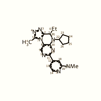 CC[C@@H]1c2nnc(C)n2-c2cnc(-c3ccnc(NC)c3)nc2N1C1CCCC1